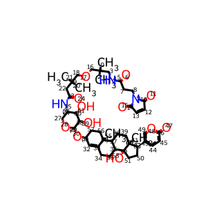 CC(C)(CNC(=O)CCN1C(=O)C=CC1=O)COCC(C)(C)CC(=O)N[C@H]1CO[C@H](O[C@@H]2C=C3CCC4C(CC[C@]5(C)[C@@H](c6ccc(=O)oc6)CCC45O)[C@@]3(C)CC2)C(O)C1O